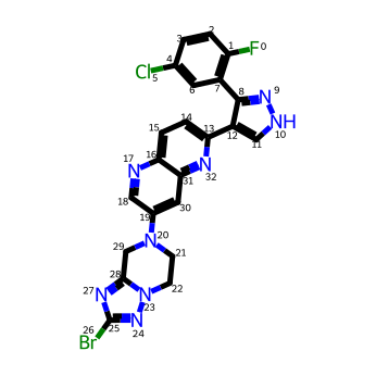 Fc1ccc(Cl)cc1-c1n[nH]cc1-c1ccc2ncc(N3CCn4nc(Br)nc4C3)cc2n1